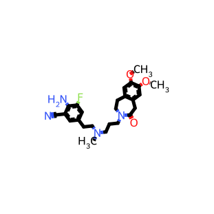 COc1cc2c(cc1OC)CC(=O)N(CCCN(C)CCc1cc(F)c(N)c(C#N)c1)CC2